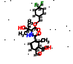 Cc1c(C(=O)N[C@H](C(=O)OCC2CCC(F)(F)CC2)C(C)(C)O)ccc2c1B(O)OC2